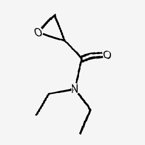 CCN(CC)C(=O)C1CO1